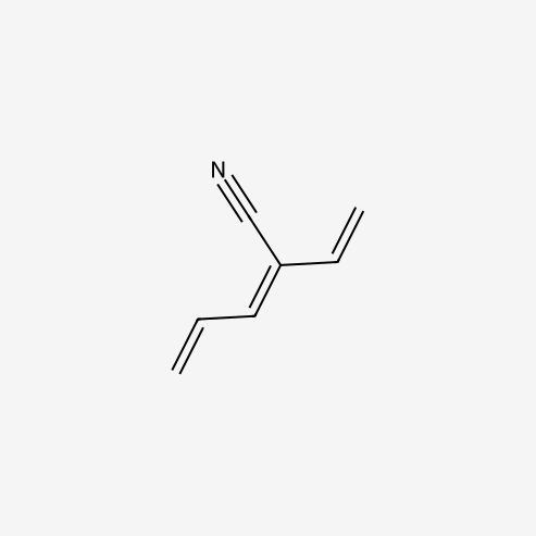 C=CC=C(C#N)C=C